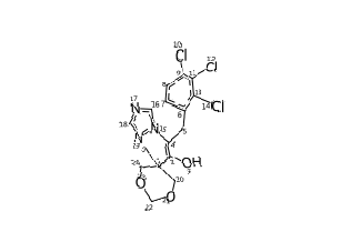 CC1(/C(O)=C(/Cc2ccc(Cl)c(Cl)c2Cl)n2cncn2)COCOC1